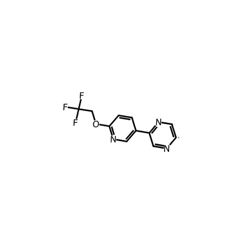 FC(F)(F)COc1ccc(-c2cn[c]cn2)cn1